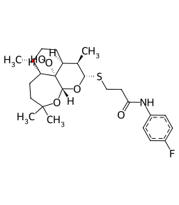 C[C@H]1[C@H](SCCC(=O)Nc2ccc(F)cc2)O[C@@H]2OC(C)(C)CC[C@H]3[C@H](C)CC[C@@H]1[C@@]23OO